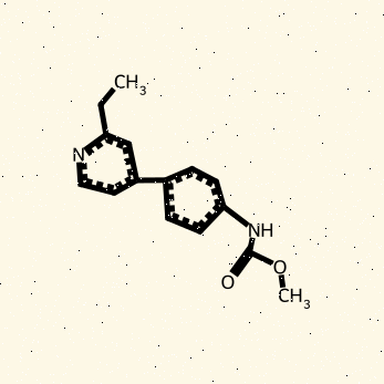 CCc1cc(-c2ccc(NC(=O)OC)cc2)ccn1